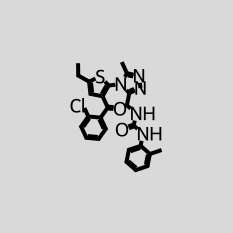 CCc1cc(C(=O)c2ccccc2Cl)c(-n2c(C)nnc2CNC(=O)Nc2ccccc2C)s1